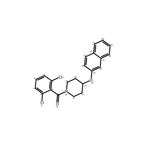 O=C(c1c(Cl)cccc1Cl)N1CCC(Oc2[c]c3ccccc3cc2)CC1